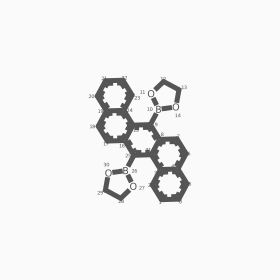 c1ccc2c(c1)ccc1c(B3OCCO3)c3c(ccc4ccccc43)c(B3OCCO3)c12